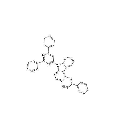 c1c(-c2ccccc2)cc2c(c#1)ccc1c2c2ccccc2n1-c1cc(C2=CC=CCC2)nc(-c2ccccc2)n1